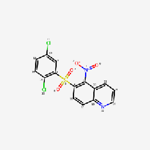 O=[N+]([O-])c1c(S(=O)(=O)c2cc(Cl)ccc2Cl)ccc2ncccc12